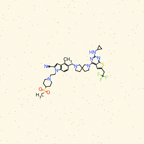 Cc1c(CN2CCC3(CCN(c4nc(NC5CC5)nc5sc(CC(F)(F)F)cc45)C3)C2)ccc2c1cc(C#N)n2CCN1CCC(S(C)(=O)=O)CC1